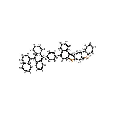 c1ccc2c(-c3c4ccccc4c(-c4ccc(-c5cc6sc7cc8sc9ccccc9c8cc7c6c6ccccc56)cc4)c4ccccc34)cccc2c1